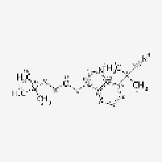 CC(C)(C#N)c1cccc2c1ncn2COCC[Si](C)(C)C